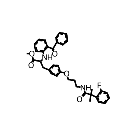 COC(=O)C(Cc1ccc(OCCCNC(=O)C(C)(C)c2ccccc2F)cc1)Nc1ccccc1C(=O)c1ccccc1